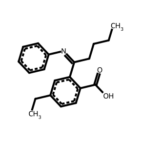 CCCCC(=Nc1ccccc1)c1cc(CC)ccc1C(=O)O